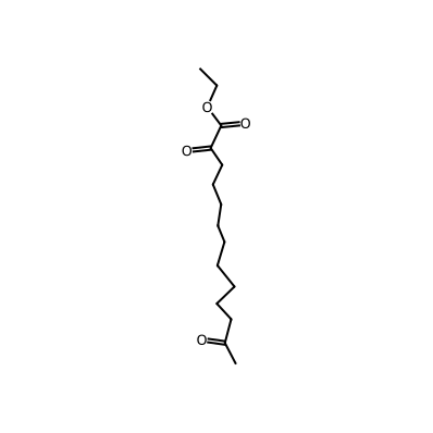 CCOC(=O)C(=O)CCCCCCCCCC(C)=O